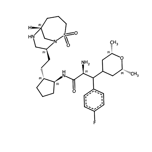 C[C@@H]1CC(C(c2ccc(F)cc2)[C@H](N)C(=O)N[C@H]2CCC[C@@H]2CC[C@H]2CN[C@@H]3CCCS(=O)(=O)N2C3)C[C@H](C)O1